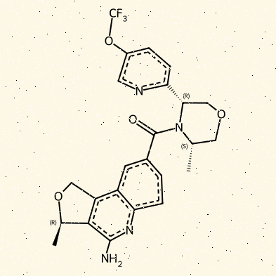 C[C@H]1OCc2c1c(N)nc1ccc(C(=O)N3[C@@H](C)COC[C@H]3c3ccc(OC(F)(F)F)cn3)cc21